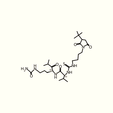 CC(C)C(=O)[C@H](CCCNC(N)=O)NC(=O)[C@@H](NC(=S)NCCCCN1C(=O)CC(C(C)(C)C)C1=O)C(C)C